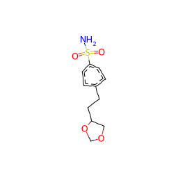 NS(=O)(=O)c1ccc(CCC2COCO2)cc1